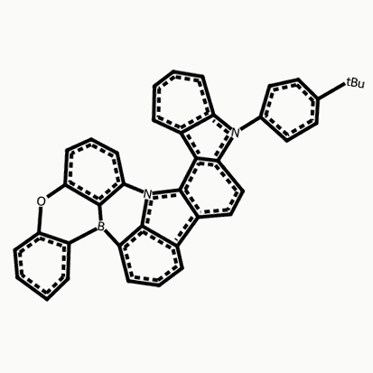 CC(C)(C)c1ccc(-n2c3ccccc3c3c2ccc2c4cccc5c4n(c23)-c2cccc3c2B5c2ccccc2O3)cc1